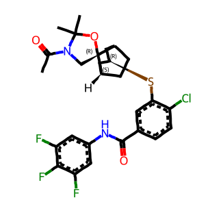 CC(=O)N1C[C@@]2(OC1(C)C)C1CC[C@H]2C[C@H](Sc2cc(C(=O)Nc3cc(F)c(F)c(F)c3)ccc2Cl)C1